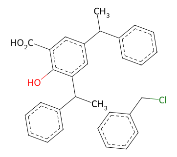 CC(c1ccccc1)c1cc(C(=O)O)c(O)c(C(C)c2ccccc2)c1.ClCc1ccccc1